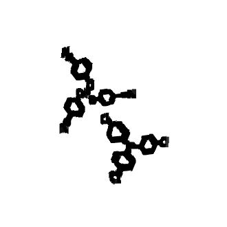 Clc1ccc(P(c2ccc(Cl)cc2)c2ccc(Cl)cc2)cc1.N#Cc1ccc(OP(Oc2ccc(C#N)cc2)Oc2ccc(C#N)cc2)cc1